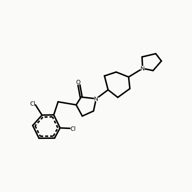 O=C1C(Cc2c(Cl)cccc2Cl)CCN1C1CCC(N2CCCC2)CC1